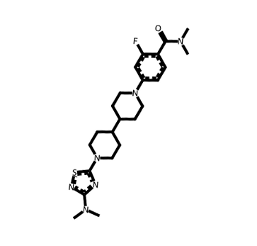 CN(C)C(=O)c1ccc(N2CCC(C3CCN(c4nc(N(C)C)ns4)CC3)CC2)cc1F